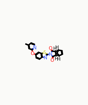 Cc1ccnc(Oc2ccc3nc(N4C(=O)[C@@H]5[C@H](C4=O)[C@@H]4C=C[C@H]5C4)sc3c2)c1